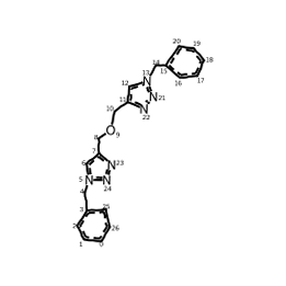 c1ccc(Cn2cc(COCc3cn(Cc4ccccc4)nn3)nn2)cc1